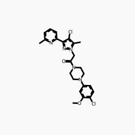 COc1cc(N2CCN(C(=O)Cn3nc(-c4cccc(C)n4)c(Cl)c3C)CC2)ccc1Cl